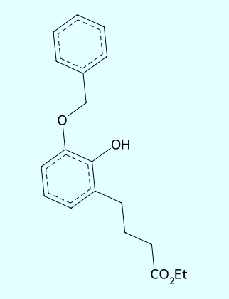 CCOC(=O)CCCc1cccc(OCc2ccccc2)c1O